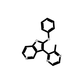 Cc1nccnc1-c1c(Oc2ccccc2)oc2ccncc12